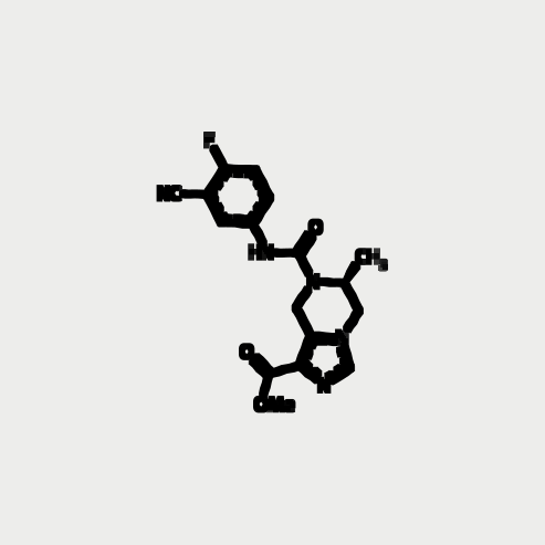 COC(=O)c1ncn2c1CN(C(=O)Nc1ccc(F)c(C#N)c1)[C@@H](C)C2